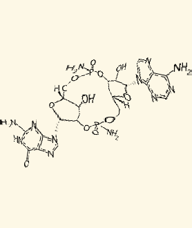 Nc1nc2c(ncn2[C@@H]2O[C@@H]3COP(N)(=O)OC4C(O)[C@H](n5cnc6c(N)ncnc65)O[C@@H]4COP(N)(=O)OC2C3O)c(=O)[nH]1